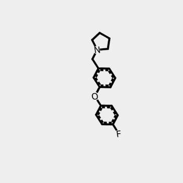 Fc1ccc(Oc2cccc(CN3CCCC3)c2)cc1